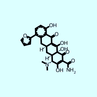 CN(C)[C@H]1C(O)=C(C(N)=O)C(=O)[C@]2(O)C(O)=C3C(=O)c4c(O)ccc(-c5ccco5)c4C[C@@H]3C[C@H]12